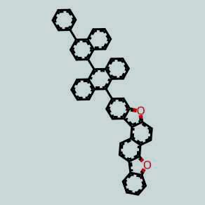 c1ccc(-c2ccc(-c3c4ccccc4c(-c4ccc5c(c4)oc4ccc6c(ccc7c8ccccc8oc76)c45)c4ccccc34)c3ccccc23)cc1